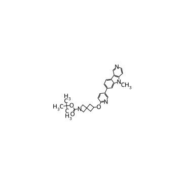 Cn1c2ccncc2c2ccc(-c3ccc(OC4CC5(C4)CN(C(=O)OC(C)(C)C)C5)nc3)cc21